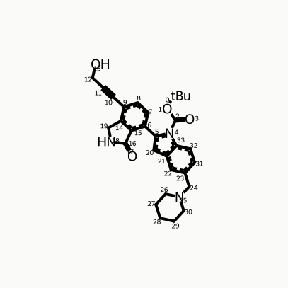 CC(C)(C)OC(=O)n1c(-c2ccc(C#CCO)c3c2C(=O)NC3)cc2cc(CN3CCCCC3)ccc21